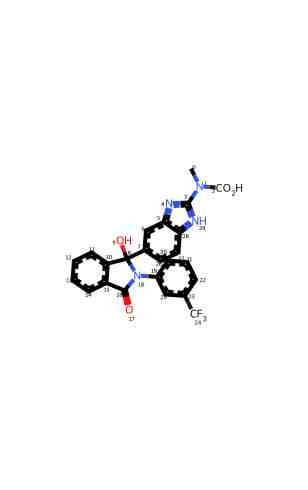 CN(C(=O)O)c1nc2cc(C3(O)c4ccccc4C(=O)N3c3cccc(C(F)(F)F)c3)ccc2[nH]1